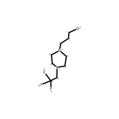 [O]CCCN1CCN(CC(F)(F)F)CC1